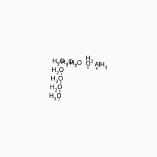 O.O.O.O.O.O.O.O.[AlH3]